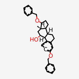 C[C@]12C[C@H](O)[C@@H]3c4ccc(OCc5ccccc5)cc4CC[C@H]3[C@@H]1CC[C@@H]2OCc1ccccc1